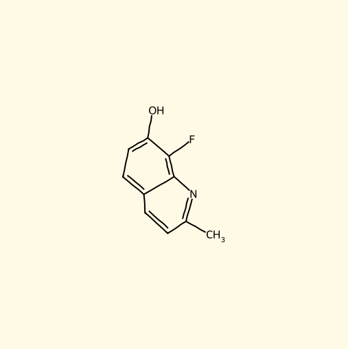 Cc1ccc2ccc(O)c(F)c2n1